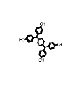 Oc1ccc(C(c2ccc(O)cc2)C2CCC(C(c3ccc(O)cc3)c3ccc(O)cc3)CC2)cc1